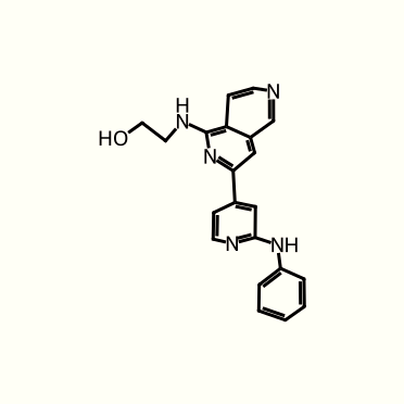 OCCNc1nc(-c2ccnc(Nc3ccccc3)c2)cc2cnccc12